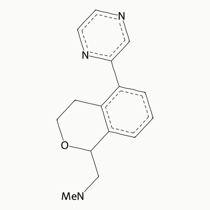 CNCC1OCCc2c(-c3cnccn3)cccc21